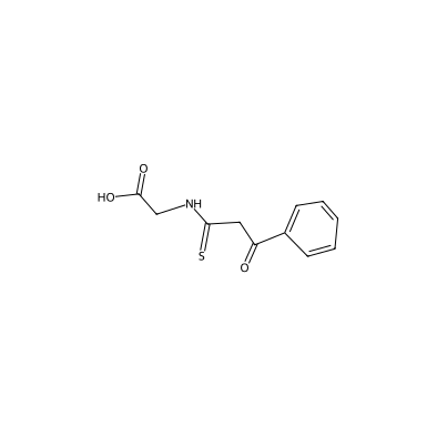 O=C(O)CNC(=S)CC(=O)c1ccccc1